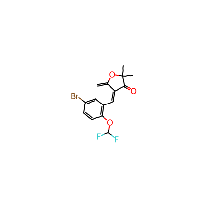 C=C1OC(C)(C)C(=O)C1=Cc1cc(Br)ccc1OC(F)F